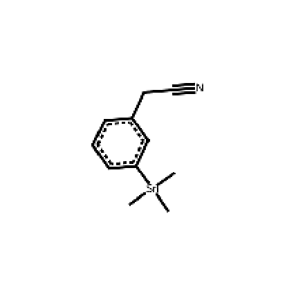 [CH3][Sn]([CH3])([CH3])[c]1cccc(CC#N)c1